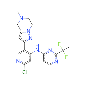 CN1CCn2nc(-c3cnc(Cl)cc3Nc3ccnc(C(C)(F)F)n3)cc2C1